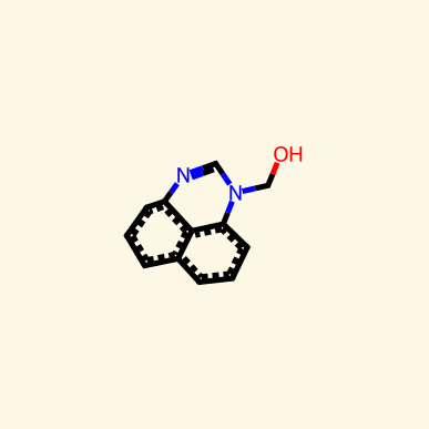 OCN1C=Nc2cccc3cccc1c23